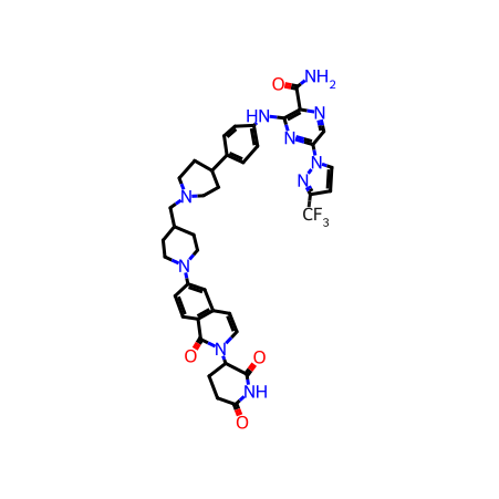 NC(=O)c1ncc(-n2ccc(C(F)(F)F)n2)nc1Nc1ccc(C2CCN(CC3CCN(c4ccc5c(=O)n(C6CCC(=O)NC6=O)ccc5c4)CC3)CC2)cc1